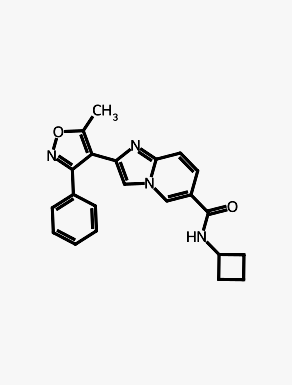 Cc1onc(-c2ccccc2)c1-c1cn2cc(C(=O)NC3CCC3)ccc2n1